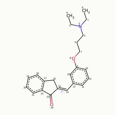 CCN(CC)CCCOc1cccc(/C=C2\Cc3ccccc3C2=O)c1